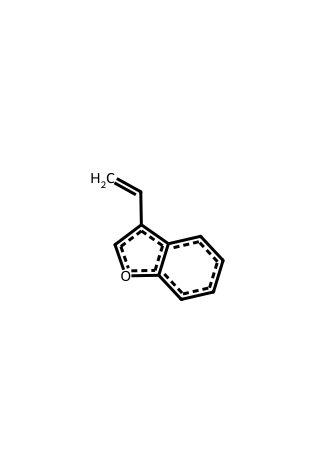 C=Cc1coc2ccccc12